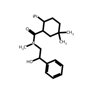 CC(C)C1CCC(C)(C)CC1C(=O)N(C)CC(O)c1ccccc1